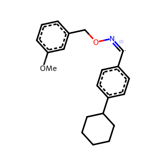 COc1cccc(CO/N=[C]\c2ccc(C3CCCCC3)cc2)c1